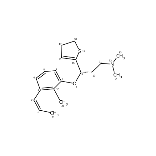 C/C=C\c1cccc(O[C@@H](CCN(C)C)C2=CCCS2)c1C